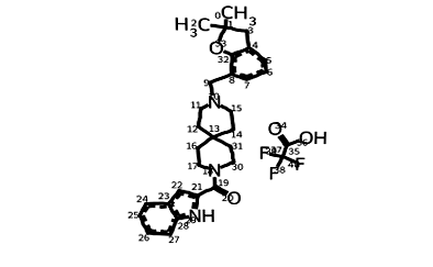 CC1(C)Cc2cccc(CN3CCC4(CC3)CCN(C(=O)c3cc5ccccc5[nH]3)CC4)c2O1.O=C(O)C(F)(F)F